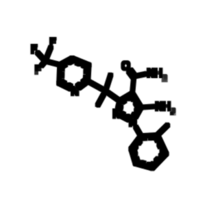 Cc1ccccc1-n1nc(C(C)(C)c2ccc(C(F)(F)F)cn2)c(C(N)=O)c1N